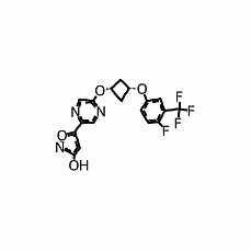 Oc1cc(-c2cnc(O[C@H]3C[C@@H](Oc4ccc(F)c(C(F)(F)F)c4)C3)cn2)on1